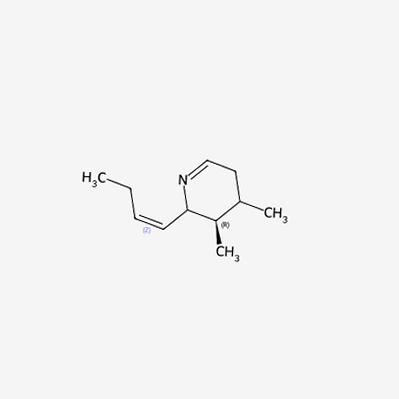 CC/C=C\C1N=CCC(C)[C@H]1C